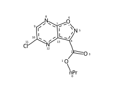 CCCOC(=O)c1noc2ncc(Cl)nc12